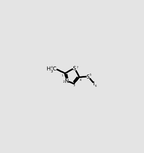 Cc1ncc(SI)s1